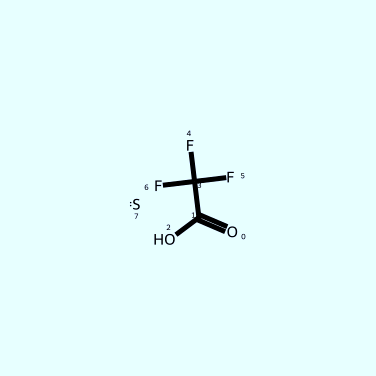 O=C(O)C(F)(F)F.[S]